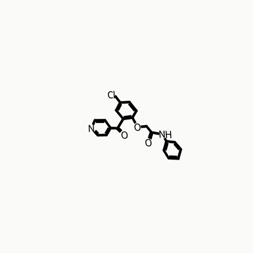 O=C(COc1ccc(Cl)cc1C(=O)c1ccncc1)Nc1ccccc1